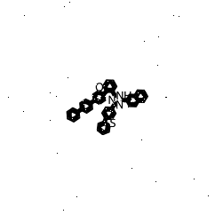 c1ccc(-c2ccc(-c3ccc4c(c3)oc3cccc(C5=NC(c6ccc7c(c6)sc6ccccc67)=NC(c6ccc7ccccc7c6)N5)c34)cc2)cc1